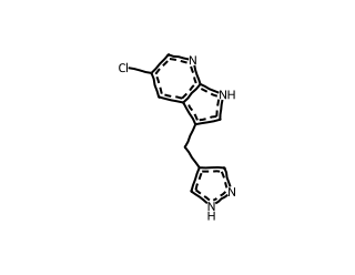 Clc1cnc2[nH]cc(Cc3cn[nH]c3)c2c1